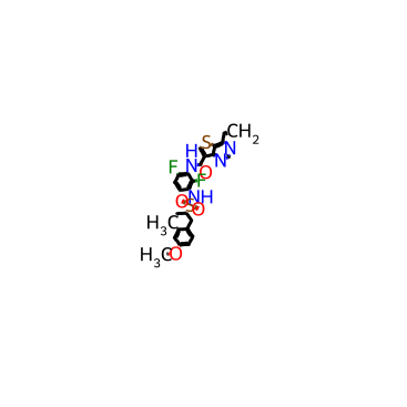 C=Cc1ncnc2c(C(=O)Nc3c(F)ccc(NS(=O)(=O)C(CC)Cc4ccc(OC)cc4)c3F)csc12